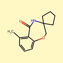 Cc1cccc2c1C(=O)NC1(CCCC1)CO2